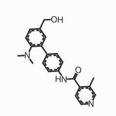 Cc1cnccc1C(=O)Nc1ccc(-c2cc(CO)ccc2N(C)C)cc1